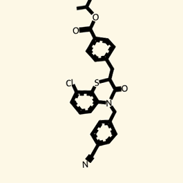 CC(C)OC(=O)c1ccc(CC2Sc3c(Cl)cccc3N(Cc3ccc(C#N)cc3)C2=O)cc1